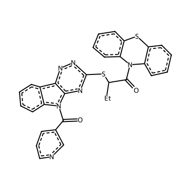 CCC(Sc1nnc2c3ccccc3n(C(=O)c3cccnc3)c2n1)C(=O)N1c2ccccc2Sc2ccccc21